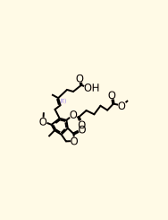 COC(=O)CCCCC(=O)Oc1c(C/C=C(\C)CCC(=O)O)c(OC)c(C)c2c1C(=O)OC2